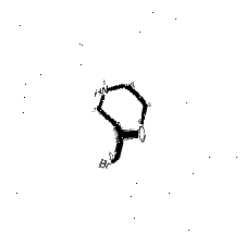 BrC1CN[CH]CO1